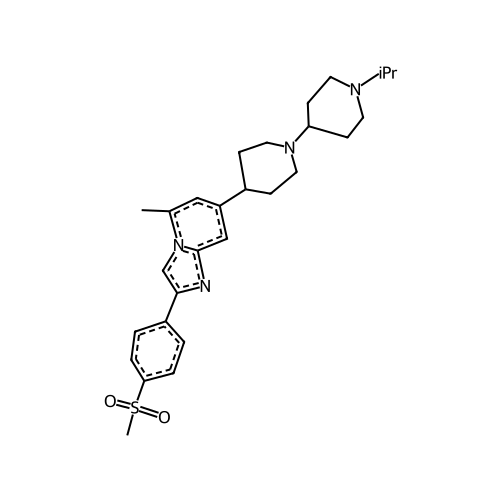 Cc1cc(C2CCN(C3CCN(C(C)C)CC3)CC2)cc2nc(-c3ccc(S(C)(=O)=O)cc3)cn12